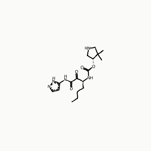 CCCC[C@H](NC(=O)O[C@@H]1CNCC1(C)C)C(=O)C(=O)Nc1ccn[nH]1